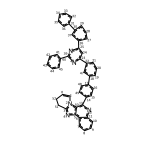 C1=Cn2c(nc3c4ccccc4nc(-c4ccc(-c5cccc(-c6cc(-c7cccc(-c8ccccc8)c7)nc(-c7ccccc7)n6)c5)cc4)c32)CC1